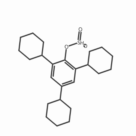 O=[SH](=O)Oc1c(C2CCCCC2)cc(C2CCCCC2)cc1C1CCCCC1